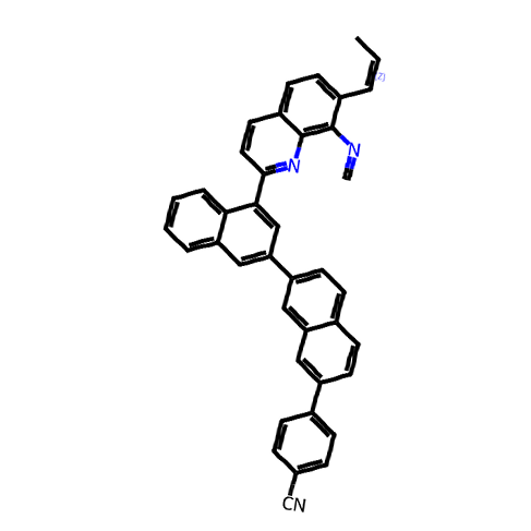 C=Nc1c(/C=C\C)ccc2ccc(-c3cc(-c4ccc5ccc(-c6ccc(C#N)cc6)cc5c4)cc4ccccc34)nc12